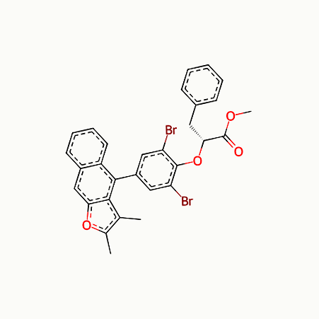 COC(=O)[C@@H](Cc1ccccc1)Oc1c(Br)cc(-c2c3ccccc3cc3oc(C)c(C)c23)cc1Br